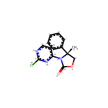 C[C@@]1(c2ccccc2)COC(=O)N1c1ccnc(Cl)n1